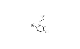 Clc1ccc(Br)c(CCBr)c1